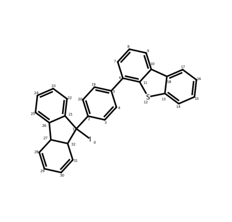 IC1(c2ccc(-c3cccc4c3sc3ccccc34)cc2)c2ccccc2C2C=CC=CC21